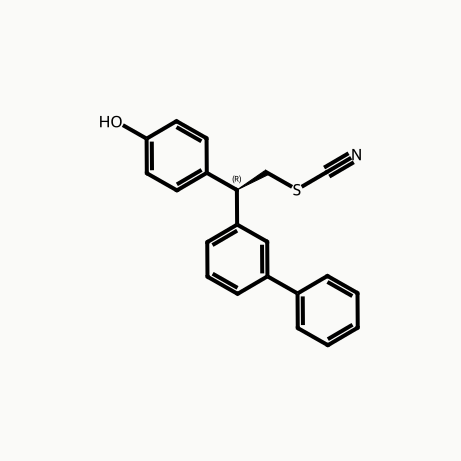 N#CSC[C@H](c1ccc(O)cc1)c1cccc(-c2ccccc2)c1